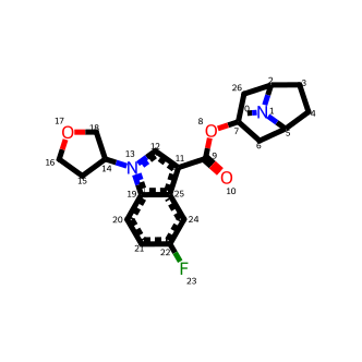 CN1C2CCC1CC(OC(=O)c1cn(C3CCOC3)c3ccc(F)cc13)C2